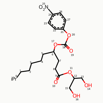 CC(C)CCCCCC(CCC(=O)OC(CO)CO)OC(=O)Oc1ccc([N+](=O)[O-])cc1